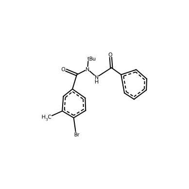 Cc1cc(C(=O)N(NC(=O)c2ccccc2)C(C)(C)C)ccc1Br